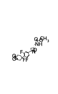 COC(=O)NC[C@H]1CC(c2cc(F)c(C3(F)CCS(=O)(=O)CC3)c(F)c2)=NO1